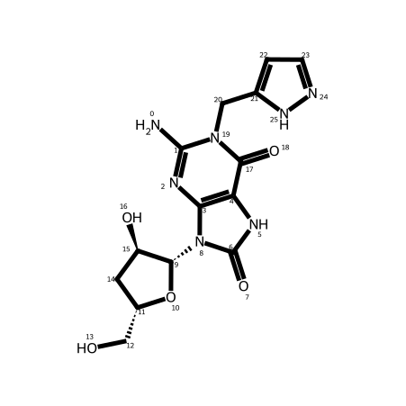 Nc1nc2c([nH]c(=O)n2[C@@H]2O[C@H](CO)C[C@H]2O)c(=O)n1Cc1ccn[nH]1